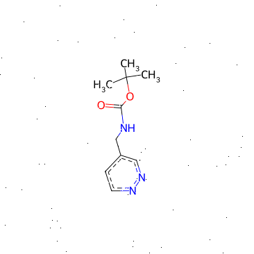 CC(C)(C)OC(=O)NCc1[c]nncc1